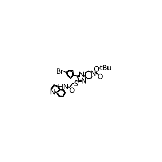 CC(C)(C)OC(=O)N1CCC2(CC1)N=C(SCC(=O)Nc1cccc3ncccc13)C(c1ccc(Br)cc1)=N2